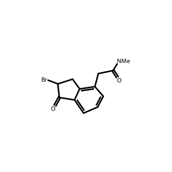 CNC(=O)Cc1cccc2c1CC(Br)C2=O